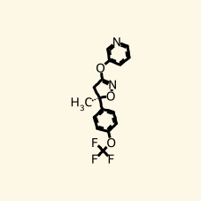 C[C@]1(c2ccc(OC(F)(F)F)cc2)CC(Oc2cccnc2)=NO1